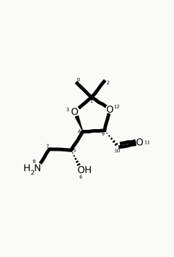 CC1(C)O[C@H]([C@H](O)CN)[C@@H](C=O)O1